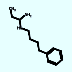 CCC(N)NCCCCc1ccccc1